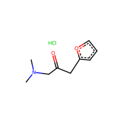 CN(C)CC(=O)Cc1ccco1.Cl